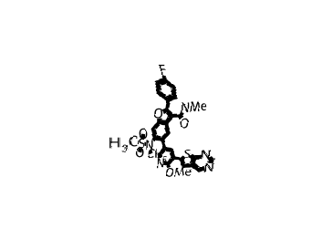 CNC(=O)c1c(-c2ccc(F)cc2)oc2cc(N(C)S(C)(=O)=O)c(-c3cnc(OC)c(-c4cc5cncnc5s4)c3)cc12